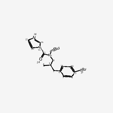 CCCCN(CC(C)Cc1ccc(C(C)(C)C)cc1)C(=O)n1ccnc1